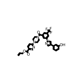 C=CCOC(=O)c1ccc(N2CCN(C(=O)c3cc(-n4cc(-c5cccc(O)c5)cn4)cc(C(F)(F)F)c3)CC2)nn1